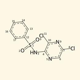 O=S(=O)(Nc1ncc(Cl)nc1Cl)c1ccccc1